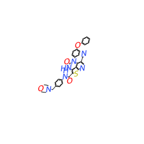 N#Cc1cnc2sc(C(=O)Nc3ccc(CN4CCOCC4)cc3)c3c2c1N(c1ccc(Oc2ccccc2)cc1)C(=O)N3